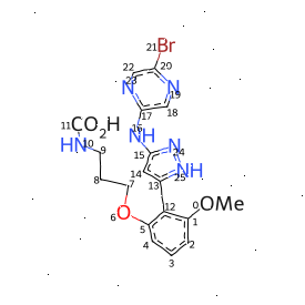 COc1cccc(OCCCNC(=O)O)c1-c1cc(Nc2cnc(Br)cn2)n[nH]1